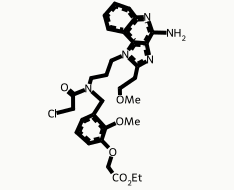 CCOC(=O)COc1cccc(CN(CCCn2c(CCOC)nc3c(N)nc4ccccc4c32)C(=O)CCl)c1OC